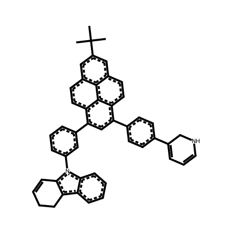 CC(C)(C)c1cc2ccc3c(-c4ccc(C5=CC=CNC5)cc4)cc(-c4cccc(-n5c6c(c7ccccc75)CCC=C6)c4)c4ccc(c1)c2c34